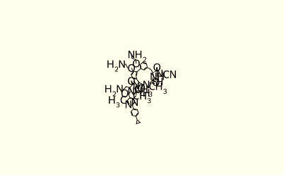 Cc1nc(-c2ccc(C3CC3)cc2)nc(C)c1C(=O)N[C@@H](CCN)C(=O)N(C)[C@@H]1C(=O)N[C@@H](C)C(=O)N[C@H](C(=O)NCC#N)Cc2ccc(OCCN)c(c2)-c2cc1ccc2OCCN